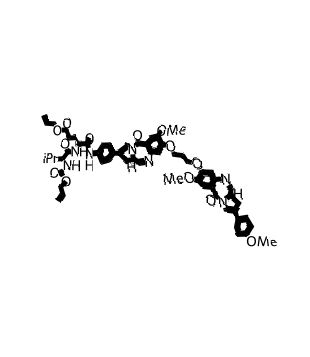 C=CCOC(=O)CC[C@H](NC(=O)C(NC(=O)OCC=C)C(C)C)C(=O)Nc1ccc(C2=CN3C(=O)c4cc(OC)c(OCCCOc5cc6c(cc5OC)C(=O)N5C=C(c7ccc(OC)cc7)C[C@H]5C=N6)cc4N=C[C@@H]3C2)cc1